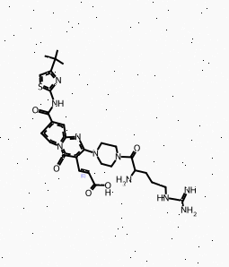 CC(C)(C)c1csc(NC(=O)c2ccn3c(=O)c(/C=C/C(=O)O)c(N4CCN(C(=O)C(N)CCCNC(=N)N)CC4)nc3c2)n1